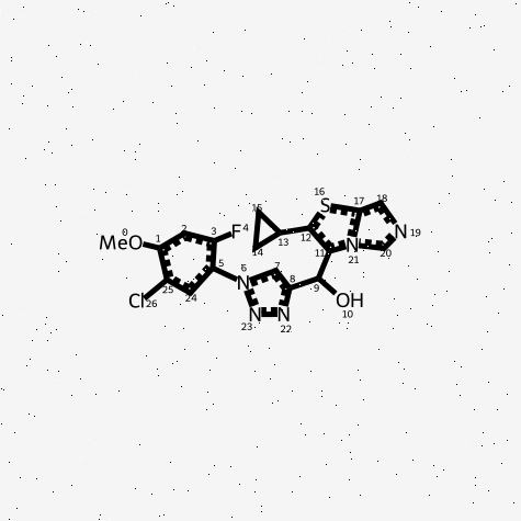 COc1cc(F)c(-n2cc(C(O)c3c(C4CC4)sc4cncn34)nn2)cc1Cl